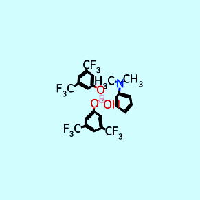 CN(C)c1ccccc1.OB(Oc1cc(C(F)(F)F)cc(C(F)(F)F)c1)Oc1cc(C(F)(F)F)cc(C(F)(F)F)c1